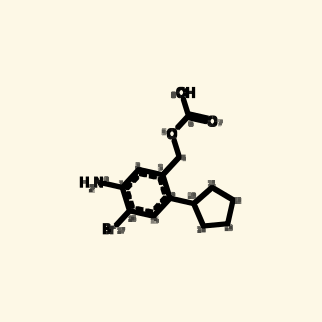 Nc1cc(COC(=O)O)c(C2CCCC2)cc1Br